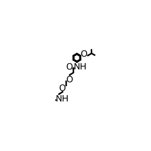 CNCCOCCOCCC(=O)Nc1cccc(OCC(C)C)c1